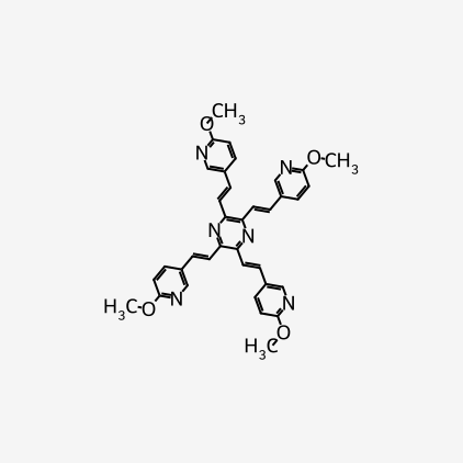 COc1ccc(C=Cc2nc(C=Cc3ccc(OC)nc3)c(C=Cc3ccc(OC)nc3)nc2C=Cc2ccc(OC)nc2)cn1